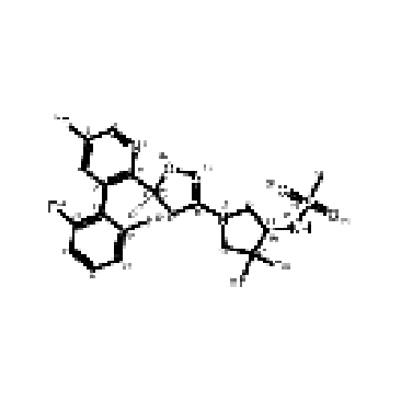 C[C@@]1(c2ncc(F)cc2-c2c(F)cccc2F)CC(N2C[C@@H](NS(C)(=O)=O)C(F)(F)C2)=NO1